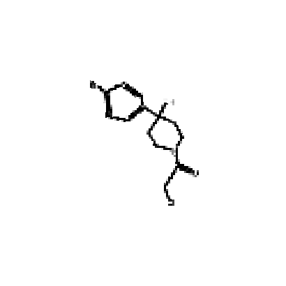 O=C(CCl)N1CCC(O)(c2ccc(Br)cc2)CC1